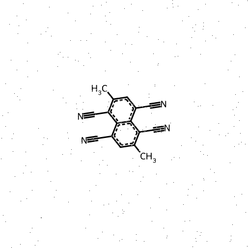 Cc1cc(C#N)c2c(C#N)c(C)cc(C#N)c2c1C#N